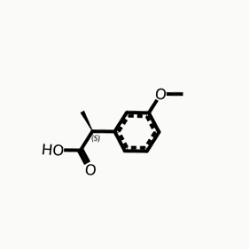 COc1cccc([C@H](C)C(=O)O)c1